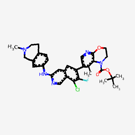 Cc1c(-c2cc3cc(Nc4ccc5c(c4)CN(C)CC5)ncc3c(Cl)c2F)cnc2c1N(C(=O)OC(C)(C)C)CCO2